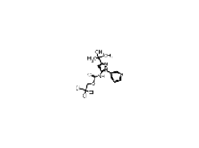 CC(C)(C)c1cc(NC(=O)OCC(Cl)(Cl)Cl)n(-c2cccnc2)n1